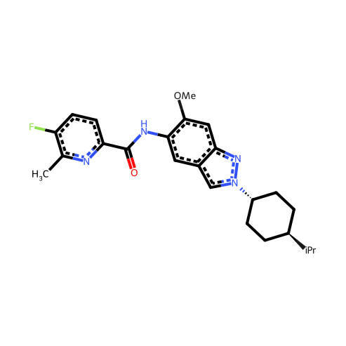 COc1cc2nn([C@H]3CC[C@H](C(C)C)CC3)cc2cc1NC(=O)c1ccc(F)c(C)n1